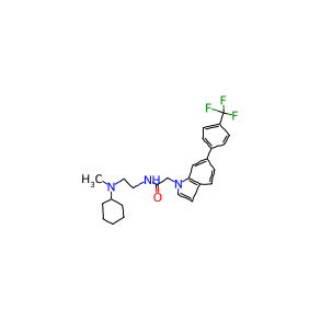 CN(CCNC(=O)Cn1ccc2ccc(-c3ccc(C(F)(F)F)cc3)cc21)C1CCCCC1